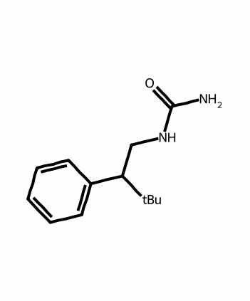 CC(C)(C)C(CNC(N)=O)c1ccccc1